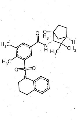 Cc1cc(C(=O)N[C@H]2C(C)(C)[C@@H]3CC[C@@]2(C)C3)cc(S(=O)(=O)N2CCCc3ccccc32)c1C